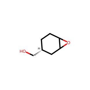 OC[C@@H]1CCC2OC2C1